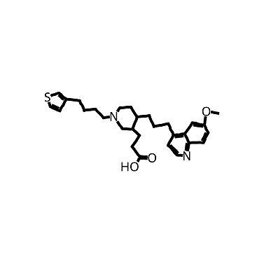 COc1ccc2nccc(CCCC3CCN(CCCCc4ccsc4)CC3CCC(=O)O)c2c1